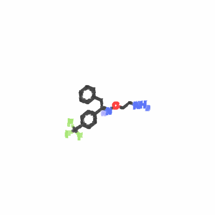 NCCO/N=C(\Cc1ccccc1)c1ccc(C(F)(F)F)cc1